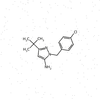 CC(C)(C)c1cc(N)n(Cc2ccc(Cl)cc2)n1